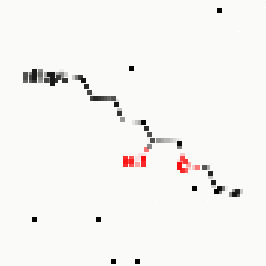 C=CCOCC(O)CCCCCCCCCCCC